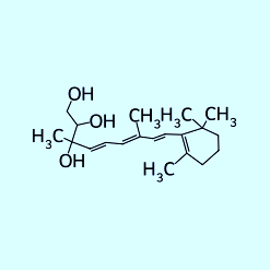 CC1=C(/C=C/C(C)=C/C=C/C(C)(O)C(O)CO)C(C)(C)CCC1